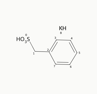 O=S(=O)(O)Cc1ccccc1.[KH]